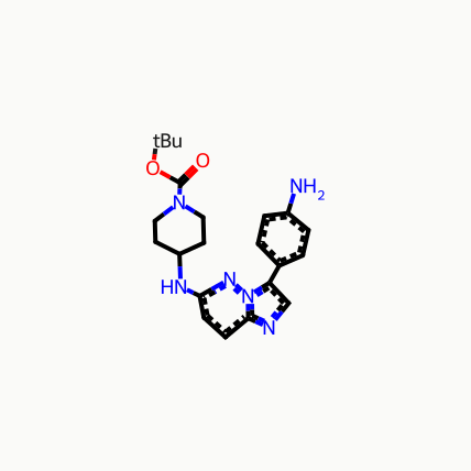 CC(C)(C)OC(=O)N1CCC(Nc2ccc3ncc(-c4ccc(N)cc4)n3n2)CC1